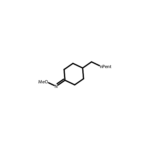 CCCCCCC1CCC(=NOC)CC1